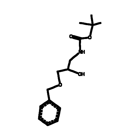 CC(C)(C)OC(=O)NCC(O)COCc1ccccc1